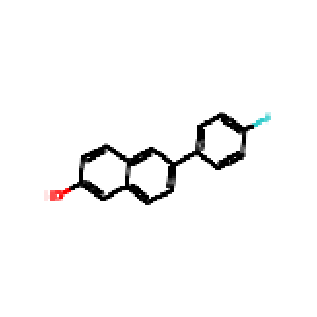 Oc1ccc2cc(-c3ccc(F)cc3)ccc2c1